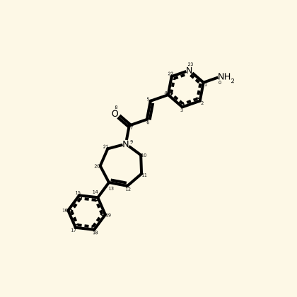 Nc1ccc(/C=C/C(=O)N2CCC=C(c3ccccc3)CC2)cn1